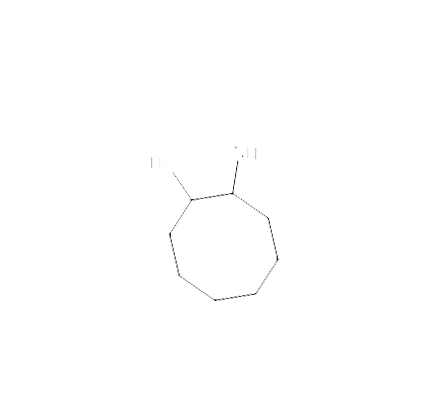 NC1CCCCCCC1S